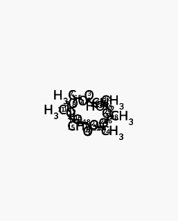 C=CC(=O)OCC(C)OCC(C)OCC(C)OCCC(=O)OCC(C)OCC(C)OCC(C)O